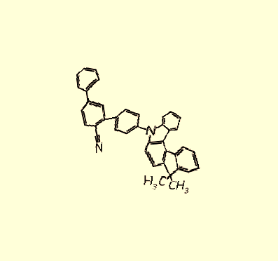 CC1(C)c2ccccc2-c2c1ccc1c2c2ccccc2n1-c1ccc(-c2cc(-c3ccccc3)ccc2C#N)cc1